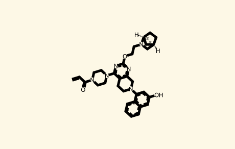 C=CC(=O)N1CCN(c2nc(OCCN3C[C@@H]4CC[C@H]3C4)nc3c2CCN(c2cc(O)cc4ccccc24)C3)CC1